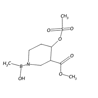 COC(=O)C1CN(B(C)O)CCC1OS(C)(=O)=O